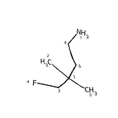 CC(C)(CF)CCN